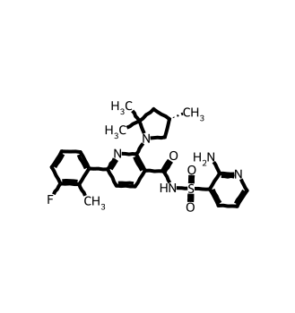 Cc1c(F)cccc1-c1ccc(C(=O)NS(=O)(=O)c2cccnc2N)c(N2C[C@@H](C)CC2(C)C)n1